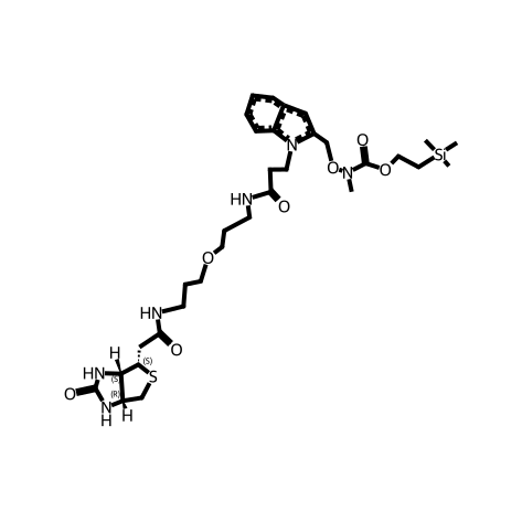 CN(OCc1cc2ccccc2n1CCC(=O)NCCCOCCCNC(=O)C[C@@H]1SC[C@@H]2NC(=O)N[C@@H]21)C(=O)OCC[Si](C)(C)C